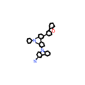 N#Cc1ccc2c(c1)c1ccccc1n2-c1ccc2c(c1)CN(c1ccccc1)Cc1ccc(-c3ccc4oc5ccccc5c4c3)cc1-2